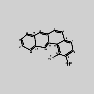 [2H]c1ccc2ccc3cc4ccccc4cc3c2c1[2H]